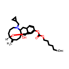 C=C1CC[C@]2(O)CC3C4=C(OC(=O)OCCCCCCCCCCCCCCC)C=CC3CC2N(CC2CC2)CCC[C@H]1O4